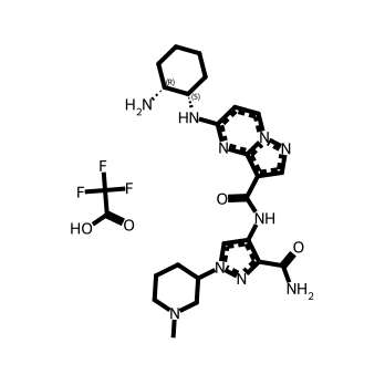 CN1CCCC(n2cc(NC(=O)c3cnn4ccc(N[C@H]5CCCC[C@H]5N)nc34)c(C(N)=O)n2)C1.O=C(O)C(F)(F)F